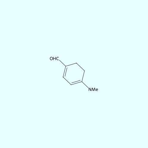 CNC1=CC=C(C=O)CC1